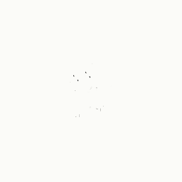 Cn1ncc(C(=O)Cl)c1I